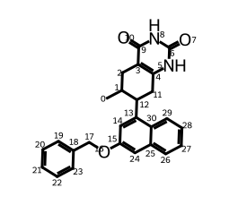 CC1Cc2c([nH]c(=O)[nH]c2=O)CC1c1cc(OCc2ccccc2)cc2ccccc12